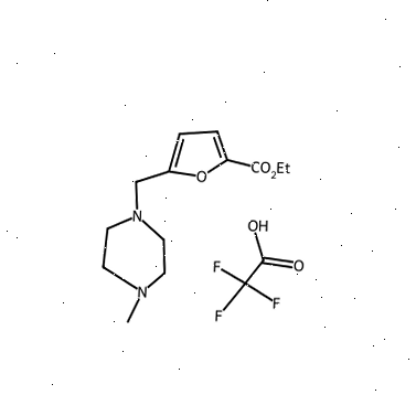 CCOC(=O)c1ccc(CN2CCN(C)CC2)o1.O=C(O)C(F)(F)F